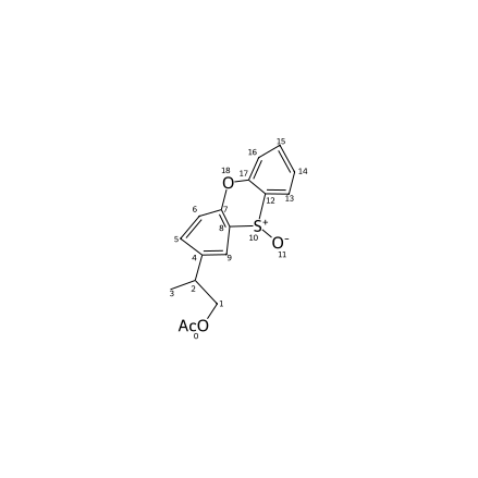 CC(=O)OCC(C)c1ccc2c(c1)[S+]([O-])c1ccccc1O2